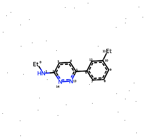 CCNc1ccc(-c2cccc(CC)c2)nn1